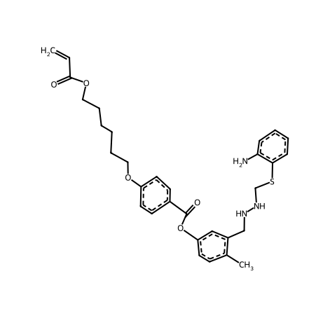 C=CC(=O)OCCCCCCOc1ccc(C(=O)Oc2ccc(C)c(CNNCSc3ccccc3N)c2)cc1